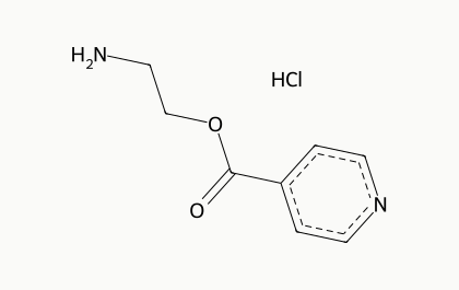 Cl.NCCOC(=O)c1ccncc1